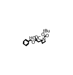 CC(C)(C)OC(=O)N1CCC1(CC(=O)OCc1ccccc1)C(=O)O